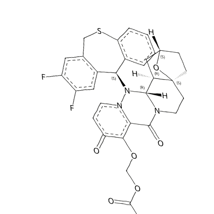 COC(=O)OCOc1c2n(ccc1=O)N([C@H]1c3cc(F)c(F)cc3CSc3ccccc31)[C@@H]1[C@H]3C[C@@H]4CC[C@@]3(CCN1C2=O)O4